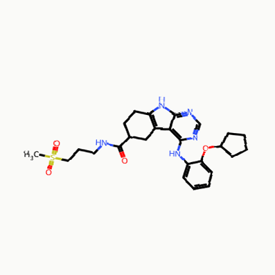 CS(=O)(=O)CCCNC(=O)C1CCc2[nH]c3ncnc(Nc4ccccc4OC4CCCC4)c3c2C1